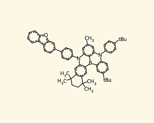 Cc1cc2c3c(c1)N(c1ccc(-c4ccc5c(c4)oc4ccccc45)cc1)c1cc4c(cc1B3c1cc(C(C)(C)C)ccc1N2c1ccc(C(C)(C)C)cc1)C(C)(C)CCC4(C)C